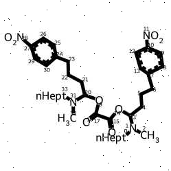 CCCCCCCN(C)C(CCCc1ccc([N+](=O)[O-])cc1)OC(=O)C(=O)OC(CCCc1ccc([N+](=O)[O-])cc1)N(C)CCCCCCC